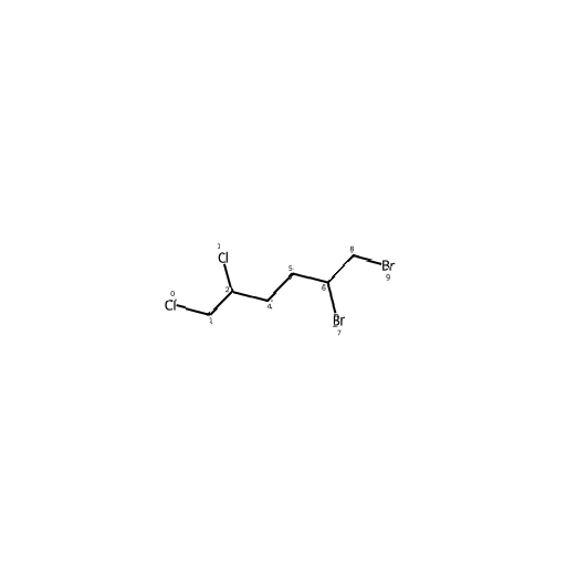 ClCC(Cl)[CH]CC(Br)CBr